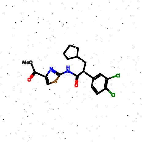 COC(=O)c1csc(NC(=O)C(CC2CCCC2)c2ccc(Cl)c(Cl)c2)n1